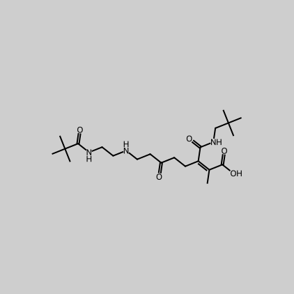 C/C(C(=O)O)=C(\CCC(=O)CCNCCNC(=O)C(C)(C)C)C(=O)NCC(C)(C)C